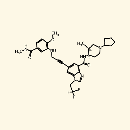 CNC(=O)c1ccc(OC)c(NCC#Cc2cc(C(=O)N[C@H]3CCN(C4CCCC4)C[C@@H]3C)c3ncn(CC(F)(F)F)c3c2)c1